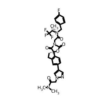 C[C@H](N(Cc1ccc(F)cc1)C(=O)CN1C(=O)O[C@]2(CCc3cc(-c4cnn(CC(=O)N(C)C)c4)ccc32)C1=O)C(F)(F)F